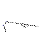 CCCCC/C=C\C/C=C\CCCCCCCCCCOC(I)C(COCCCCCCCC)N(C)C